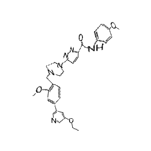 CCOc1cncc(-c2ccc(CN3CCN(c4ccc(C(=O)Nc5ccc(OC)cc5)nn4)CC3)c(OC)c2)c1